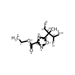 CCOC(=O)c1noc(C(C)(CF)C(F)F)n1